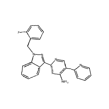 Nc1nc(-c2nn(Cc3ccccc3F)c3ccccc23)ncc1-c1ccccn1